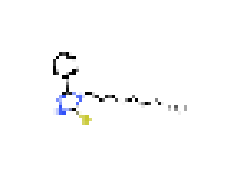 O=C(O)CCCCCCCN1C(c2ccccc2)=NNC1S